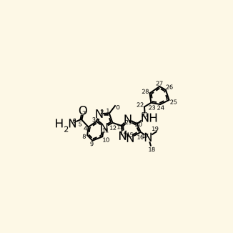 Cc1nc2c(C(N)=O)cccn2c1-c1nnc(N(C)C)c(NCc2ccccc2)n1